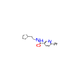 CC(C)c1ccc(C(=O)NCCC2CCCC2)cn1